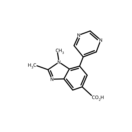 Cc1nc2cc(C(=O)O)cc(-c3cncnc3)c2n1C